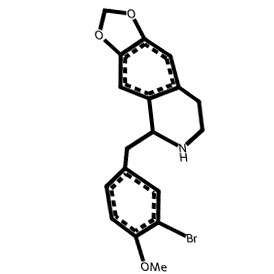 COc1ccc(CC2NCCc3cc4c(cc32)OCO4)cc1Br